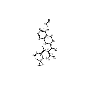 C=N/C(NC1(C)CC1)=C(\C)C(C(=O)N1CCc2c(cccc2OCF)C1)=C(C)C